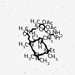 C=Cc1c(C)c2cc3nc(c(C)c4cc(C)c(cc5nc(cc1[nH]2)C(C)=C5CC)[nH]4)C(CCC(=O)N(C)CCCS[C@@H]1O[C@H](COC(=O)[C@@H](N)C(C)C)[C@@H](OC(C)=O)[C@H](OC(C)=O)[C@H]1C)=C3C